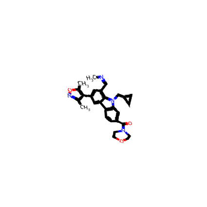 C/N=C\c1cc(-c2c(C)noc2C)cc2c3ccc(C(=O)N4CCOCC4)cc3n(CC3CC3)c12